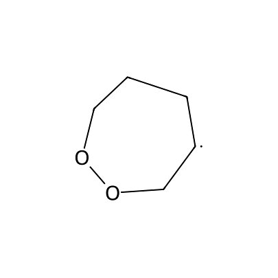 [CH]1CCCOOC1